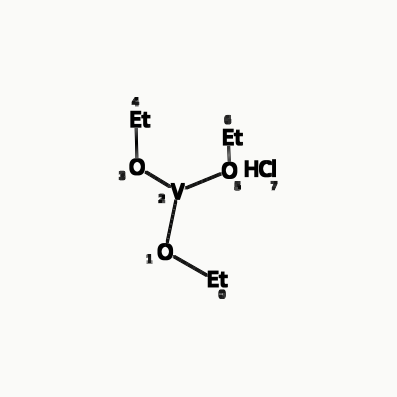 CC[O][V]([O]CC)[O]CC.Cl